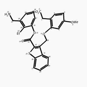 CCOC(=O)Cc1ccc(OC)cc1OCc1c(C(=O)Oc2cccc(CN)c2CC)sc2ccccc12